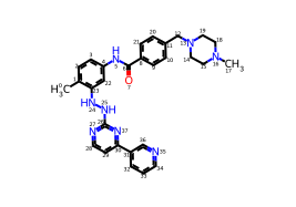 Cc1ccc(NC(=O)c2ccc(CN3CCN(C)CC3)cc2)cc1NNc1nccc(-c2cccnc2)n1